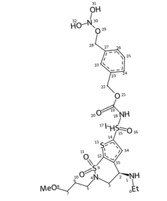 CCN[C@H]1CN(CCCOC)S(=O)(=O)c2sc([SH](=O)(I)NC(=O)OCc3cccc(CON(O)O)c3)cc21